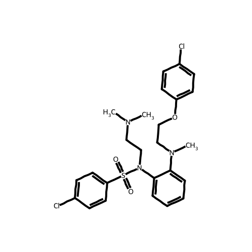 CN(C)CCN(c1ccccc1N(C)CCOc1ccc(Cl)cc1)S(=O)(=O)c1ccc(Cl)cc1